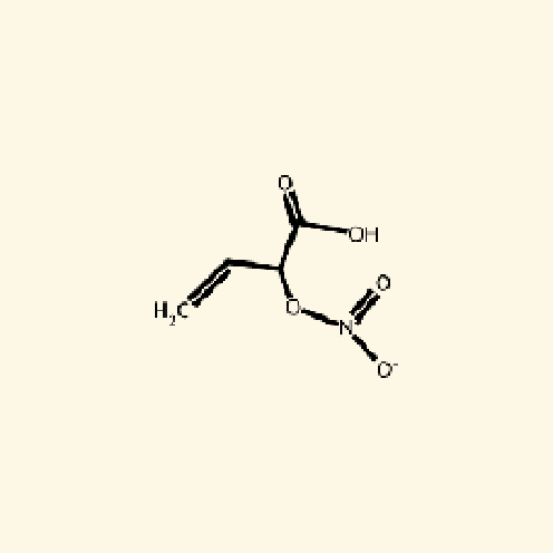 C=CC(O[N+](=O)[O-])C(=O)O